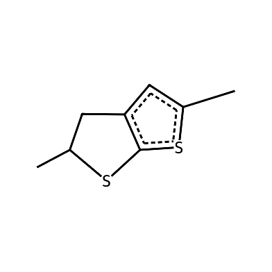 Cc1cc2c(s1)SC(C)C2